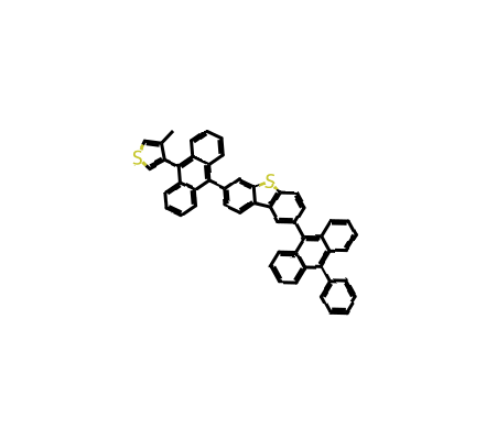 Cc1cscc1-c1c2ccccc2c(-c2ccc3c(c2)sc2ccc(-c4c5ccccc5c(-c5ccccc5)c5ccccc45)cc23)c2ccccc12